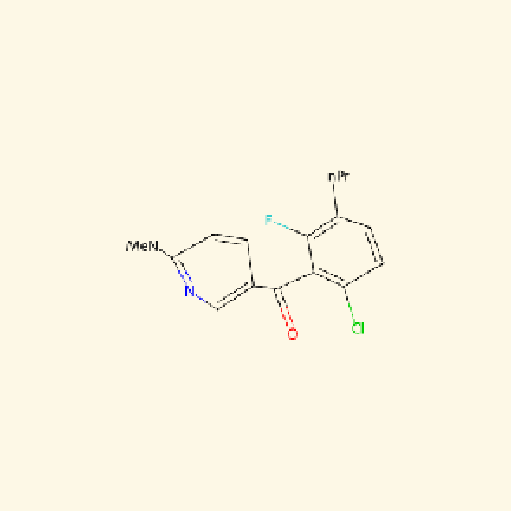 [CH2]CCc1ccc(Cl)c(C(=O)c2ccc(NC)nc2)c1F